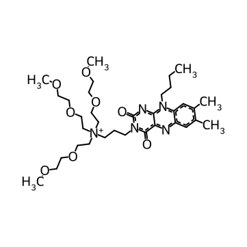 CCCCn1c2nc(=O)n(CCC[N+](CCOCCOC)(CCOCCOC)CCOCCOC)c(=O)c-2nc2cc(C)c(C)cc21